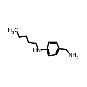 CCCCCNc1ccc(CN)cc1